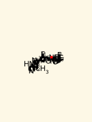 COc1cnccc1Nc1ncc(-c2ccc(CC(=O)Nc3cc(C4(C(F)(F)F)CC4)on3)c(F)c2)cn1